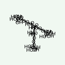 CC(=O)N[C@H]1[C@H](OCCOCCOCCNC(=O)CCC(NC(=O)CCC(NC(C)C)C(=O)NCCOCCOCCO[C@@H]2O[C@H](CO)[C@H](O)[C@H](O)[C@H]2NC(C)=O)C(=O)NCCOCCOCCO[C@@H]2O[C@H](CO)[C@H](O)[C@H](O)[C@H]2NC(C)=O)O[C@H](CO)[C@H](O)[C@@H]1O